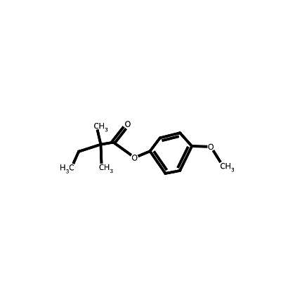 CCC(C)(C)C(=O)Oc1ccc(OC)cc1